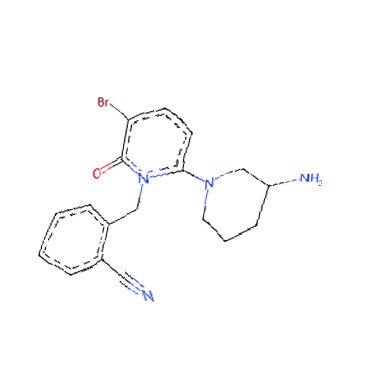 N#Cc1ccccc1Cn1c(N2CCCC(N)C2)ccc(Br)c1=O